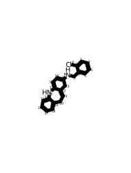 Clc1ccccc1CNC1=CC=C2Nc3ccccc3CC=C2C1